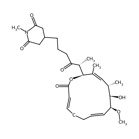 CO[C@H]1/C=C/CC/C=C/C(=O)O[C@@H]([C@@H](C)C(=O)CCCC2CC(=O)N(C)C(=O)C2)/C(C)=C\[C@H](C)[C@H]1O